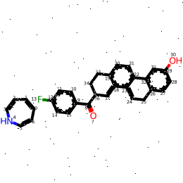 C1=CC=CNC=C1.O=C(c1ccc(F)cc1)C1C=c2c(ccc3c2=CCc2ccc(O)cc2-3)CC1